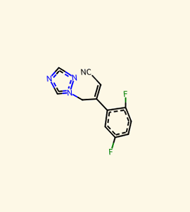 N#C/C=C(\Cn1cncn1)c1cc(F)ccc1F